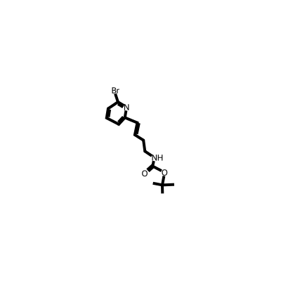 CC(C)(C)OC(=O)NCCC=Cc1cccc(Br)n1